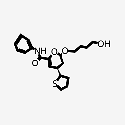 O=C(Nc1ccccc1)C1=C[C@H](C2CCCS2)C[C@H](OCCCCO)O1